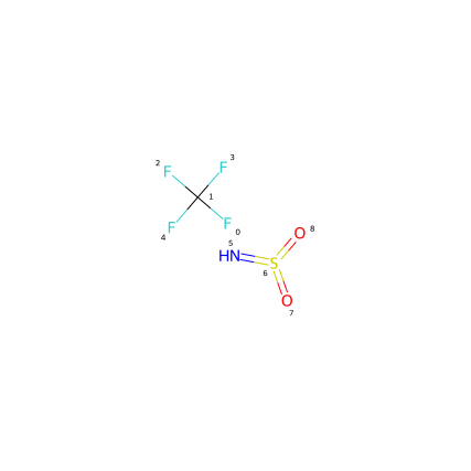 FC(F)(F)F.N=S(=O)=O